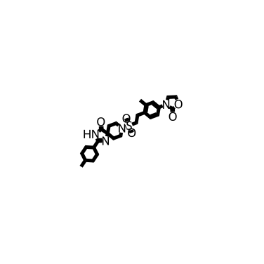 Cc1cc(N2CCOC2=O)ccc1CCS(=O)(=O)N1CCC2(CC1)N=C(C1CCC(C)CC1)NC2=O